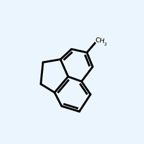 Cc1cc2c3c(cccc3c1)CC2